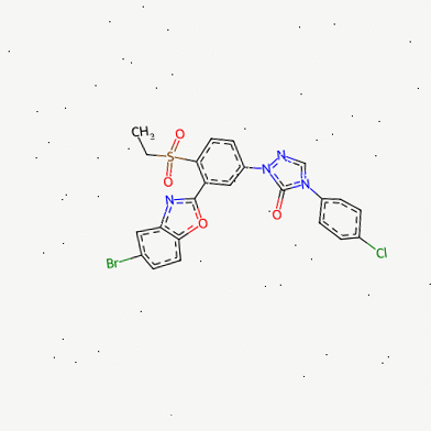 CCS(=O)(=O)c1ccc(-n2ncn(-c3ccc(Cl)cc3)c2=O)cc1-c1nc2cc(Br)ccc2o1